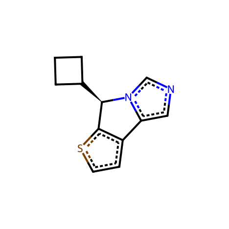 c1cc2c(s1)[C@@H](C1CCC1)n1cncc1-2